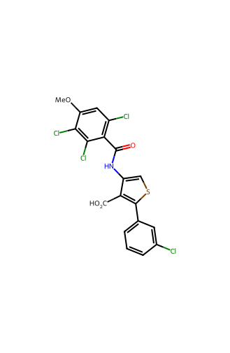 COc1cc(Cl)c(C(=O)Nc2csc(-c3cccc(Cl)c3)c2C(=O)O)c(Cl)c1Cl